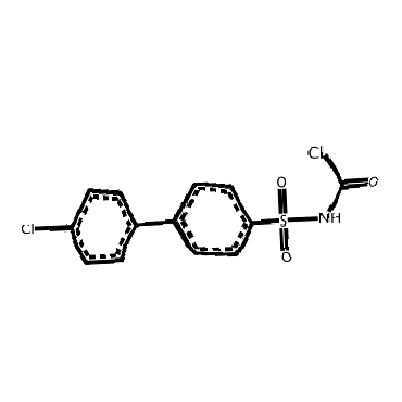 O=C(Cl)NS(=O)(=O)c1ccc(-c2ccc(Cl)cc2)cc1